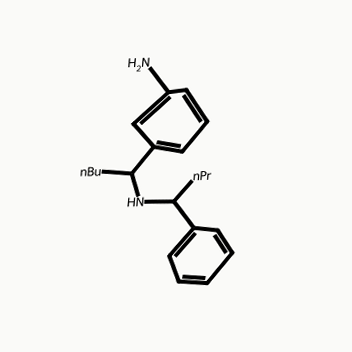 CCCCC(NC(CCC)c1ccccc1)c1cccc(N)c1